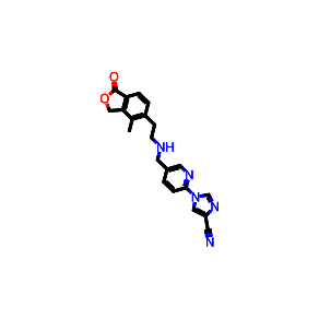 Cc1c(CCNCc2ccc(-n3cnc(C#N)c3)nc2)ccc2c1COC2=O